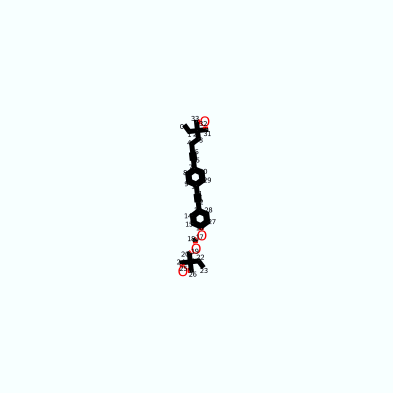 CCC1(CCC#Cc2ccc(C#Cc3ccc(OCOCC4(CC)COC4)cc3)cc2)COC1